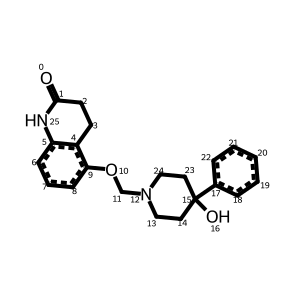 O=C1CCc2c(cccc2OCN2CCC(O)(c3ccccc3)CC2)N1